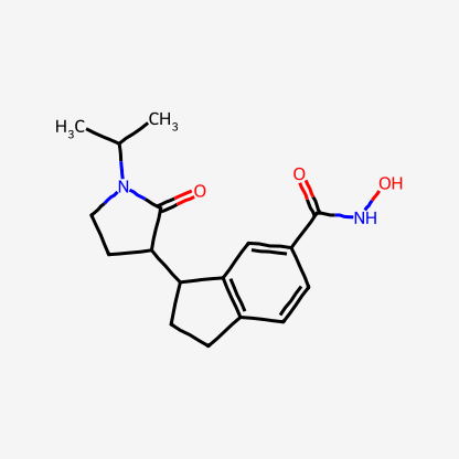 CC(C)N1CCC(C2CCc3ccc(C(=O)NO)cc32)C1=O